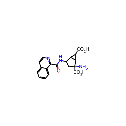 NC1(C(=O)O)CC(NC(=O)c2nccc3ccccc23)C2C(C(=O)O)C21